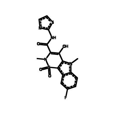 CN1C(C(=O)Nc2nccs2)=C(O)c2c(c3cc(F)ccc3n2C)S1(=O)=O